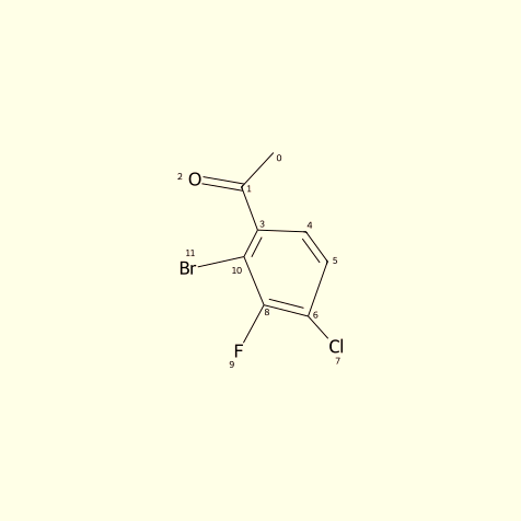 CC(=O)c1ccc(Cl)c(F)c1Br